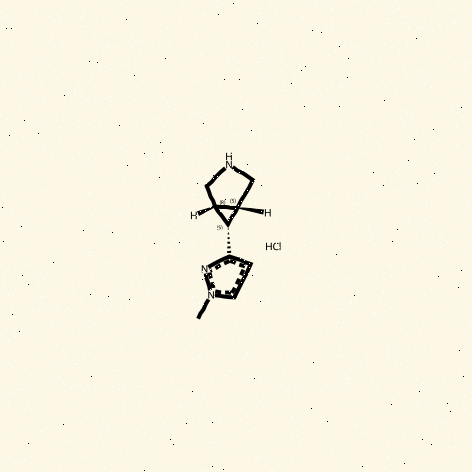 Cl.Cn1ccc([C@@H]2[C@@H]3CNC[C@@H]32)n1